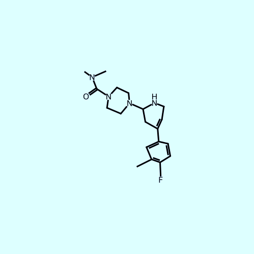 Cc1cc(C2=CCNC(N3CCN(C(=O)N(C)C)CC3)C2)ccc1F